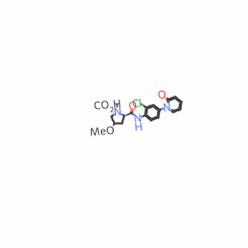 CO[C@@H]1C[C@H](C(=O)Nc2ccc(-n3ccccc3=O)cc2Cl)N(C(=O)O)C1